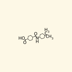 CC1(C)CCC(NC(=O)C2CCC(C(=O)O)CC2)CC1